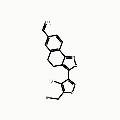 C=Cc1ccc2c(c1)CCc1c-2noc1-c1noc(CC(C)C)c1C(F)(F)F